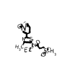 CCN(C(=O)CC[S+](C)[O-])c1sc(-c2ccc[n+]([O-])c2)nc1C